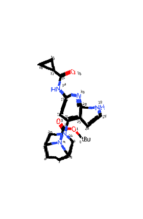 CC(C)(C)OC(=O)N1C2CCC1CN(c1cc(NC(=O)C3CC3)nc3[nH]ccc13)C2